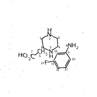 C1CNCCN1.CC(=O)O.Nc1cccc(F)c1